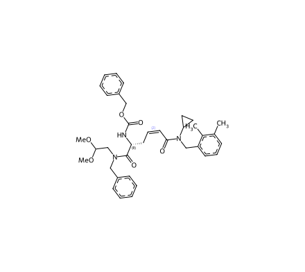 COC(CN(Cc1ccccc1)C(=O)[C@@H](C/C=C\C(=O)N(Cc1cccc(C)c1C)C1CC1)NC(=O)OCc1ccccc1)OC